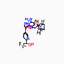 CC(=O)c1c([C@@H]2C[C@H]3CC[C@@H](C2)N3C(=O)CO)nc2c(-c3ccc(C(O)C(F)(F)F)nc3)cnn2c1N